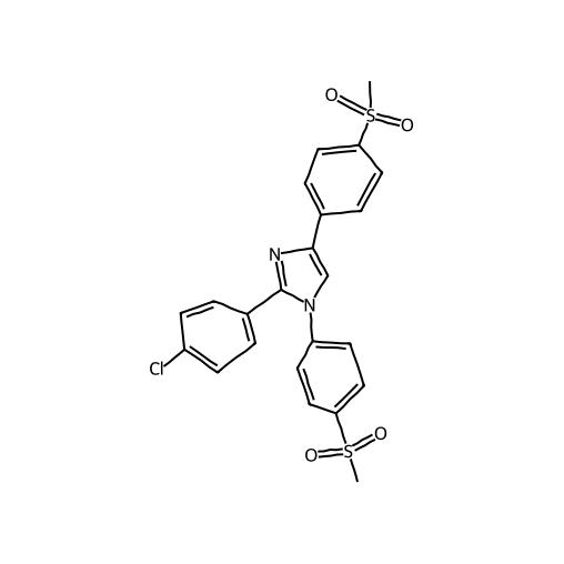 CS(=O)(=O)c1ccc(-c2cn(-c3ccc(S(C)(=O)=O)cc3)c(-c3ccc(Cl)cc3)n2)cc1